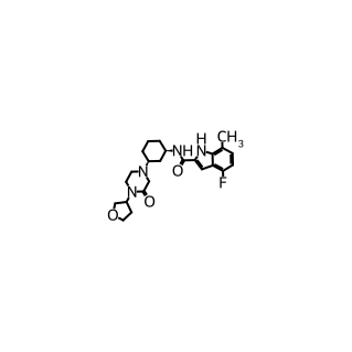 Cc1ccc(F)c2cc(C(=O)N[C@@H]3CCC[C@H](N4CCN(C5CCOC5)C(=O)C4)C3)[nH]c12